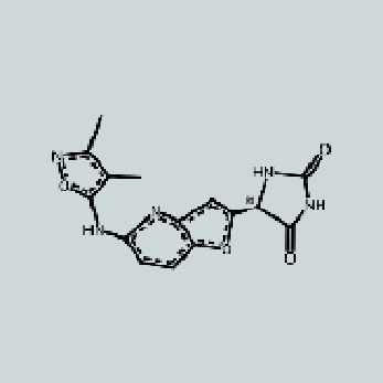 Cc1noc(Nc2ccc3oc([C@H]4NC(=O)NC4=O)cc3n2)c1C